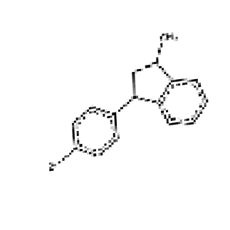 CC1CC(c2ccc(Br)cc2)c2ccccc21